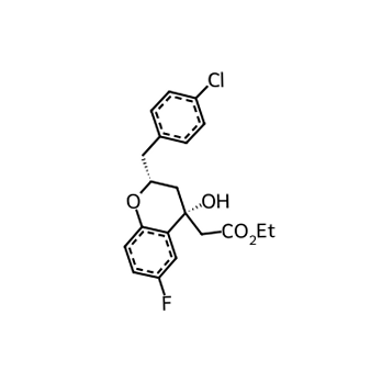 CCOC(=O)C[C@]1(O)C[C@@H](Cc2ccc(Cl)cc2)Oc2ccc(F)cc21